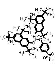 CC(C)(C)c1cc(C(C)(C)C)c2cc(OP(Oc3ccc(S(C)(=O)=O)cc3)Oc3cc4c(C(C)(C)C)cc(C(C)(C)C)cc4cc3C(C)(C)C)c(C(C)(C)C)cc2c1